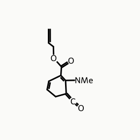 C=CCOC(=O)C1=C(NC)C(=C=O)CC=C1